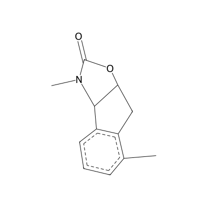 Cc1cccc2c1CC1OC(=O)N(C)C21